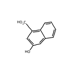 O=C(O)c1[c]c(O)cc2ccccc12